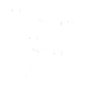 C=CC(=O)OCCCNC(=O)OC(COc1ccccc1)COc1ccc(C(C)(C)C)cc1OCC(COc1ccccc1)OC(=O)NCCCOC(=O)C=C